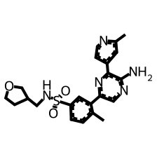 Cc1cc(-c2nc(-c3cc(S(=O)(=O)NCC4CCOC4)ccc3C)cnc2N)ccn1